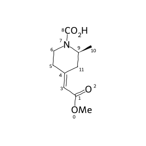 COC(=O)/C=C1/CCN(C(=O)O)[C@@H](C)C1